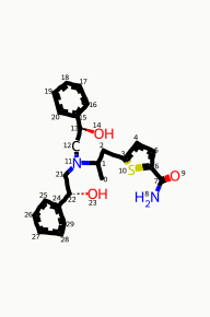 CC(Cc1ccc(C(N)=O)s1)N(C[C@H](O)c1ccccc1)C[C@H](O)c1ccccc1